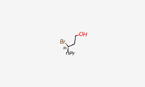 CCC[C@@H](Br)CCO